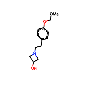 COCOc1ccc(CCN2CC(O)C2)cc1